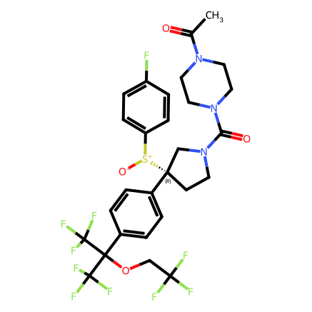 CC(=O)N1CCN(C(=O)N2CC[C@](c3ccc(C(OCC(F)(F)F)(C(F)(F)F)C(F)(F)F)cc3)([S+]([O-])c3ccc(F)cc3)C2)CC1